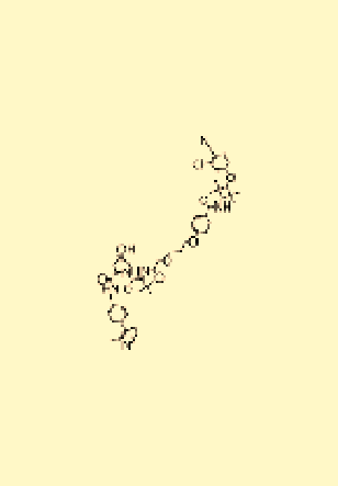 Cc1ncoc1-c1ccc(CNC(=O)[C@@H]2C[C@@H](O)CN2C(=O)[C@@H](NC(=O)COCCCOc2ccc(C(=O)NC3C(C)(C)C(Oc4ccc(C#N)c(Cl)c4)C3(C)C)cc2)C(C)(C)C)cc1